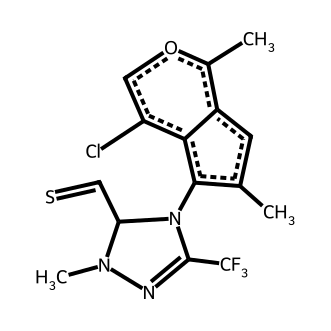 Cc1cc2c(C)occ(Cl)c-2c1N1C(C(F)(F)F)=NN(C)C1C=S